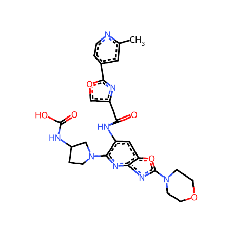 Cc1cc(-c2nc(C(=O)Nc3cc4oc(N5CCOCC5)nc4nc3N3CCC(NC(=O)O)C3)co2)ccn1